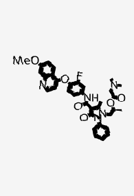 COc1ccc2c(Oc3ccc(NC(=O)c4c(C)n(C[C@H](C)OC(=O)CN(C)C)n(-c5ccccc5)c4=O)cc3F)ccnc2c1